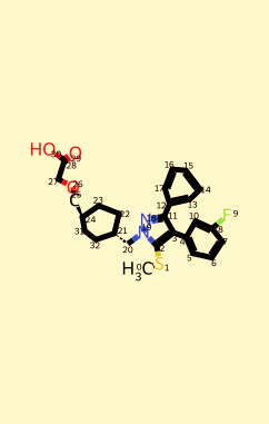 CSc1c(-c2cccc(F)c2)c(-c2ccccc2)nn1C[C@H]1CC[C@H](COCC(=O)O)CC1